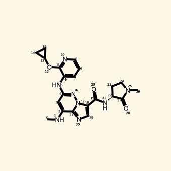 CNc1cc(Nc2cccnc2OC2CC2)nn2c(C(=O)N[C@@H]3CCN(C)C3=O)cnc12